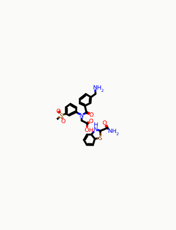 CS(=O)(=O)c1cccc(N(CC(=O)O)C(=O)c2cccc(CN)c2)c1.NC(=O)C1NC2C=CC=CC2S1